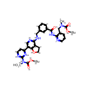 CN(Cc1cccnc1NC(=O)c1cccc(CNc2ncc(-c3ccnc(N(C(=O)O)C(=O)OC(C)(C)C)n3)c3c2CCO3)c1)C(=O)OC(C)(C)C